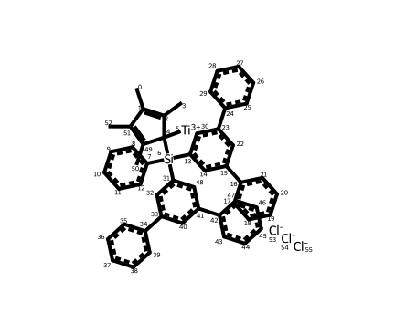 CC1=C(C)[C]([Ti+3])([Si](c2ccccc2)(c2cc(-c3ccccc3)cc(-c3ccccc3)c2)c2cc(-c3ccccc3)cc(-c3ccccc3)c2)C(C)=C1C.[Cl-].[Cl-].[Cl-]